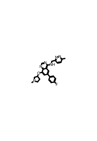 Cc1ccc(CNc2ncnc3c(OC4CCN(C)C4)cc(-c4ccc(F)cc4)cc23)nn1